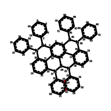 c1ccc(B2c3cc4c5c6c3-c3c(cccc3N(c3ccccc3)B6N(c3ccccc3)c3cccc(c3-5)N(c3ccccc3)B4c3ccccc3)N2c2ccccc2)cc1